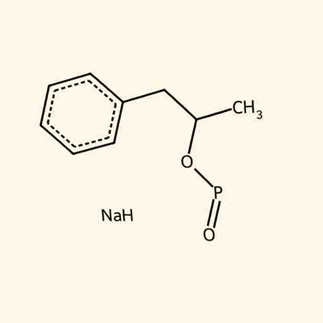 CC(Cc1ccccc1)OP=O.[NaH]